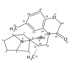 CCCCC1CC2CCC(C1)N2C[C@@H](C)CN1C(=O)COc2ccc(C)cc21